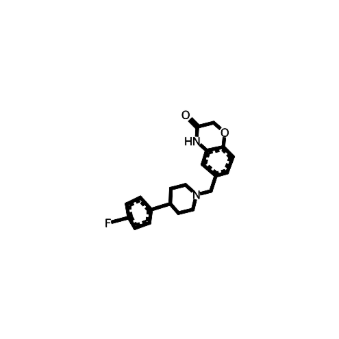 O=C1COc2ccc(CN3CCC(c4ccc(F)cc4)CC3)cc2N1